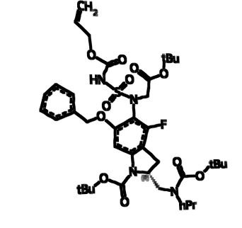 C=CCOC(=O)NS(=O)(=O)N(CC(=O)OC(C)(C)C)c1c(OCc2ccccc2)cc2c(c1F)C[C@H](CN(CCC)C(=O)OC(C)(C)C)N2C(=O)OC(C)(C)C